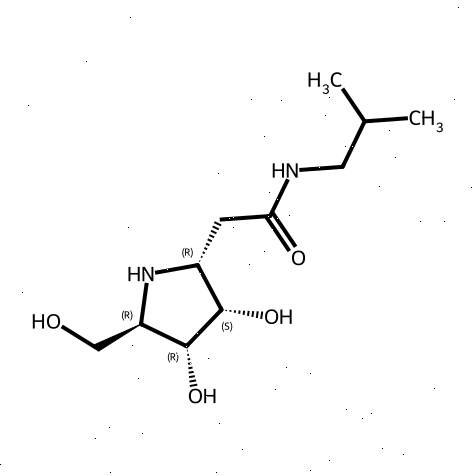 CC(C)CNC(=O)C[C@H]1N[C@H](CO)[C@@H](O)[C@H]1O